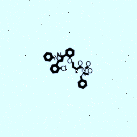 CC(CCOc1ccccc1-c1cc(-c2ccccc2Cl)n(-c2ccccc2)n1)C(=O)N1C(=O)OC[C@@H]1Cc1ccccc1